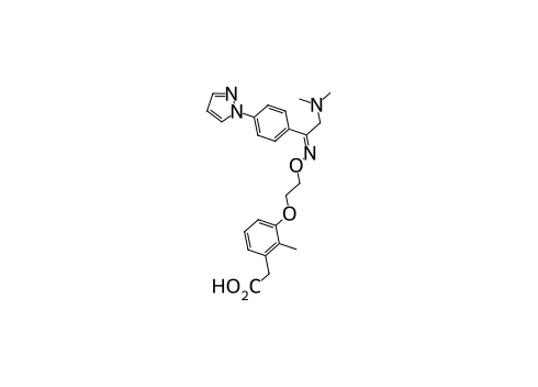 Cc1c(CC(=O)O)cccc1OCCON=C(CN(C)C)c1ccc(-n2cccn2)cc1